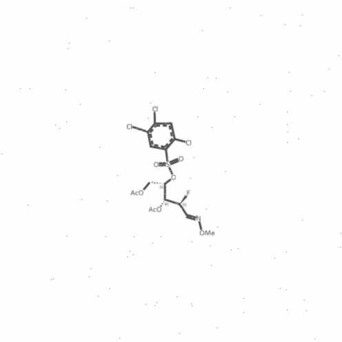 CON=C[C@H](F)[C@H](OC(C)=O)[C@H](COC(C)=O)OS(=O)(=O)c1cc(Cl)c(Cl)cc1Cl